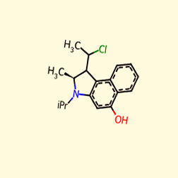 CC(Cl)C1c2c(cc(O)c3ccccc23)N(C(C)C)[C@H]1C